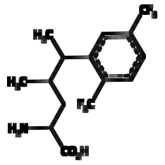 CC(CC(N)C(=O)O)C(C)c1cc(C(F)(F)F)ccc1C(F)(F)F